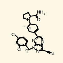 C[C@H](c1ccc(Cl)cc1Cl)n1nc(C#N)c2ncc(C3=CCC(N4CCCC4C(N)=O)[C@@H](C)C3)nc21